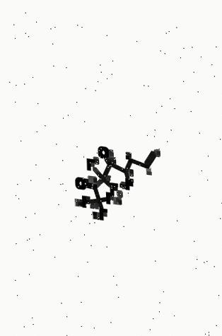 C=CCC(F)C(=O)C(F)(F)C(=O)C(F)(F)F